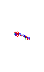 CN(CC1CCC(n2cc3cc(NC(=O)c4cccc(C(F)(F)F)n4)c(C(C)(C)O)cc3n2)CC1)C1CCC2(CC1)CCN(C(=O)c1ccc(Cl)c(N3CCC(=O)NC3=O)c1)CC2